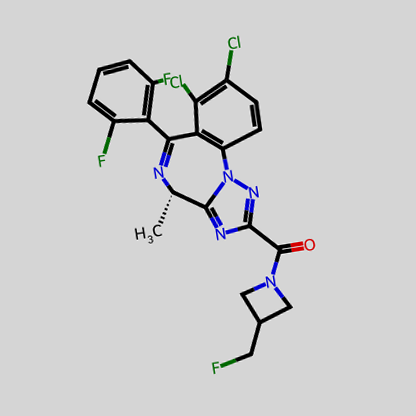 C[C@@H]1N=C(c2c(F)cccc2F)c2c(ccc(Cl)c2Cl)-n2nc(C(=O)N3CC(CF)C3)nc21